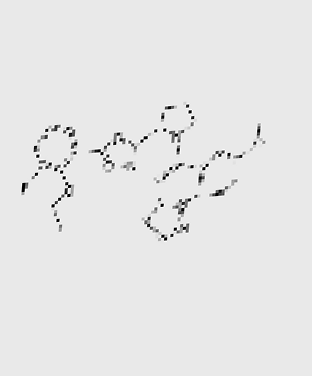 CCOc1c(F)cccc1-c1nc(C2CCCN2C(=O)c2cc(OC)ccc2-n2nccn2)no1